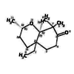 CCC12CCC(=O)C(C)(C)[C@@H]1O[C@@H](C)CC2